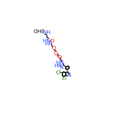 CN1Cc2c(Cl)cc(Cl)cc2[C@H](c2cccc(/C(=C/NCCOCCOCCOCCNC(=O)NCCCCNC=O)N=N)c2)C1